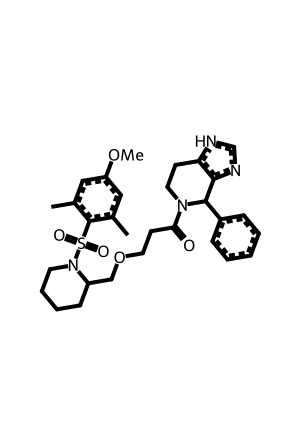 COc1cc(C)c(S(=O)(=O)N2CCCCC2COCCC(=O)N2CCc3[nH]cnc3C2c2ccccc2)c(C)c1